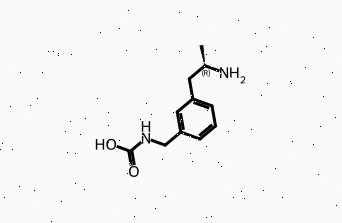 C[C@@H](N)Cc1cccc(CNC(=O)O)c1